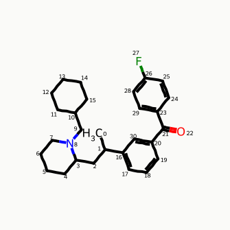 CC(CC1CCCCN1CC1CCCCC1)c1cccc(C(=O)c2ccc(F)cc2)c1